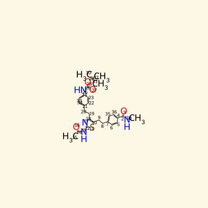 CNC(=O)c1ccc(CCc2sc(NC(C)=O)nc2CCc2ccc(NC(=O)OC(C)(C)C)cc2)cc1